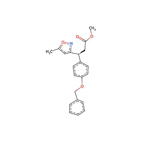 COC(=O)C[C@@H](c1ccc(OCc2ccccc2)cc1)c1cc(C)on1